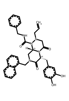 C=CCN1CC(=O)N2[C@H](Cc3ccc(O)c(O)c3)C(=O)N(Cc3cccc4ccccc34)C[C@@H]2N1C(=O)NCc1ccccc1